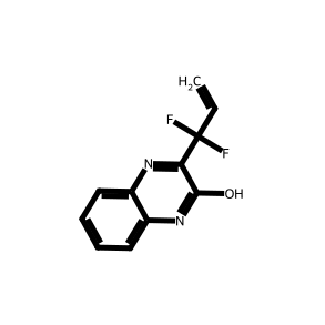 C=CC(F)(F)c1nc2ccccc2nc1O